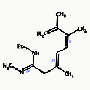 C=C(C)/C(C)=C\C=C(/C)C/C(=N/C)NCC